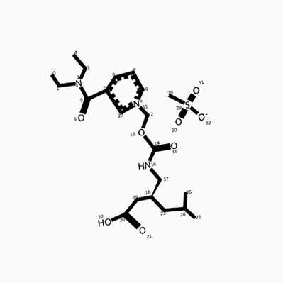 CCN(CC)C(=O)c1ccc[n+](COC(=O)NC[C@H](CC(=O)O)CC(C)C)c1.CS(=O)(=O)[O-]